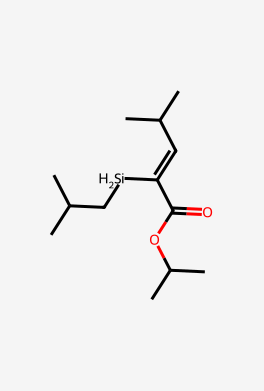 CC(C)C=C([SiH2]CC(C)C)C(=O)OC(C)C